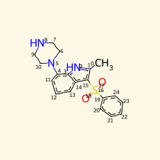 Cc1[nH]c2c(N3CCNCC3)cccc2c1S(=O)(=O)c1ccccc1